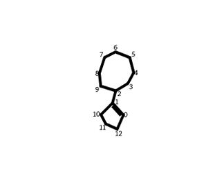 C1=C(C2CCCCCCC2)CCC1